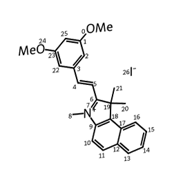 COc1cc(/C=C/C2=[N+](C)c3ccc4ccccc4c3C2(C)C)cc(OC)c1.[I-]